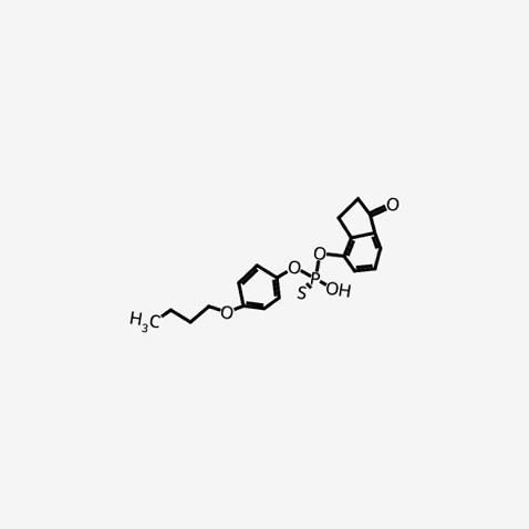 CCCCOc1ccc(OP(O)(=S)Oc2cccc3c2CCC3=O)cc1